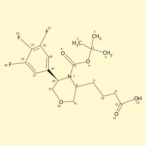 CC(C)(C)OC(=O)N1C(CCCC(=O)O)COC[C@H]1c1cc(F)c(F)c(F)c1